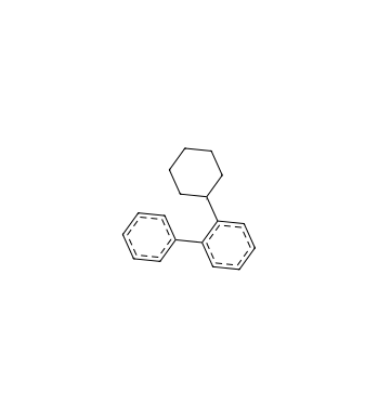 c1ccc(-c2ccccc2[C]2CCCCC2)cc1